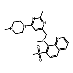 Cc1nc(CN(C)c2c(S(C)(=O)=O)ccc3cccnc23)cc(N2CCN(C)CC2)n1